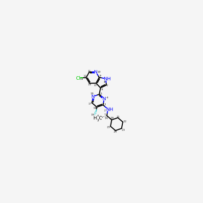 C[C@H](Nc1nc(-c2c[nH]c3ncc(Cl)cc23)ncc1F)C1CCCCC1